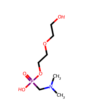 CN(C)CP(=O)(O)OCCOCCO